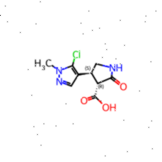 Cn1ncc([C@H]2CNC(=O)[C@@H]2C(=O)O)c1Cl